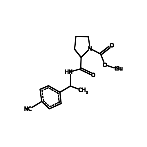 CC(NC(=O)C1CCCN1C(=O)OC(C)(C)C)c1ccc(C#N)cc1